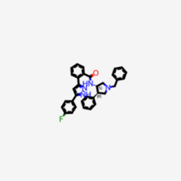 O=C(N[C@@H]1CN(Cc2ccccc2)C[C@H]1c1ccccc1)c1ccccc1-c1cc(-c2ccc(F)cc2)[nH]n1